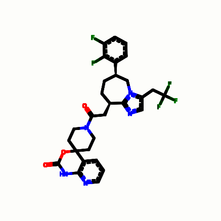 O=C1Nc2ncccc2C2(CCN(C(=O)C[C@H]3CC[C@@H](c4cccc(F)c4F)Cn4c(CC(F)(F)F)cnc43)CC2)O1